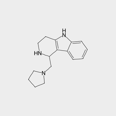 c1ccc2c3c([nH]c2c1)CCNC3CN1CCCC1